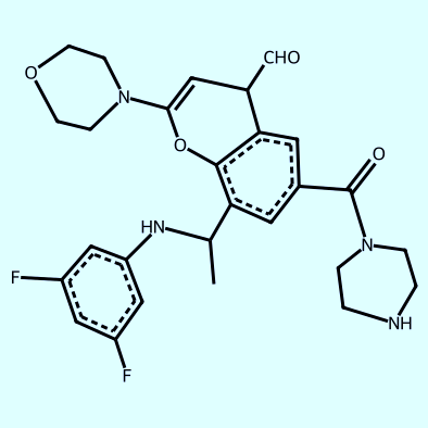 CC(Nc1cc(F)cc(F)c1)c1cc(C(=O)N2CCNCC2)cc2c1OC(N1CCOCC1)=CC2C=O